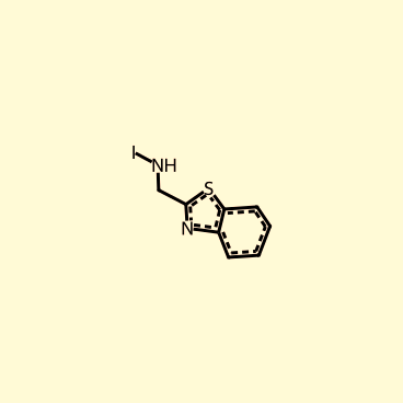 INCc1nc2ccccc2s1